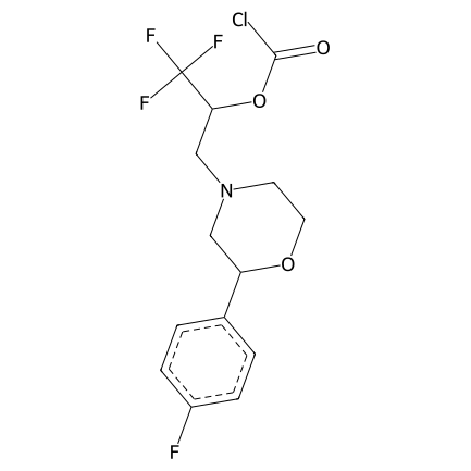 O=C(Cl)OC(CN1CCOC(c2ccc(F)cc2)C1)C(F)(F)F